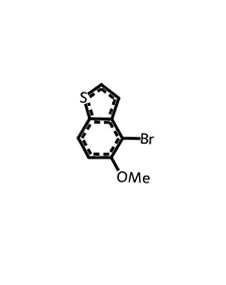 COc1ccc2sccc2c1Br